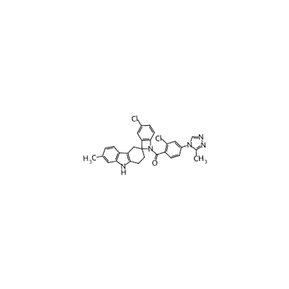 Cc1ccc2c3c([nH]c2c1)CCC1(C3)c2cc(Cl)ccc2N1C(=O)c1ccc(-n2cnnc2C)cc1Cl